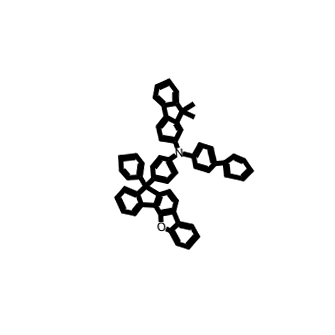 CC1(C)c2ccccc2-c2ccc(N(c3ccc(-c4ccccc4)cc3)c3ccc(C4(c5ccccc5)c5ccccc5-c5c4ccc4c5oc5ccccc54)cc3)cc21